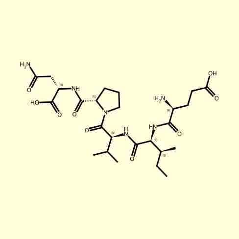 CC[C@H](C)[C@H](NC(=O)[C@@H](N)CCC(=O)O)C(=O)N[C@H](C(=O)N1CCC[C@H]1C(=O)N[C@@H](CC(N)=O)C(=O)O)C(C)C